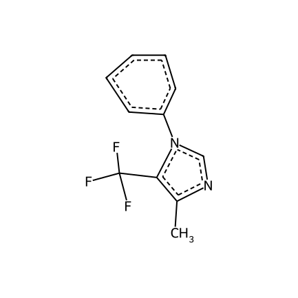 Cc1ncn(-c2ccccc2)c1C(F)(F)F